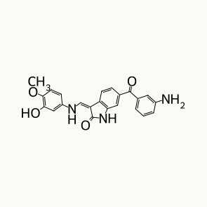 COc1ccc(NC=C2C(=O)Nc3cc(C(=O)c4cccc(N)c4)ccc32)cc1O